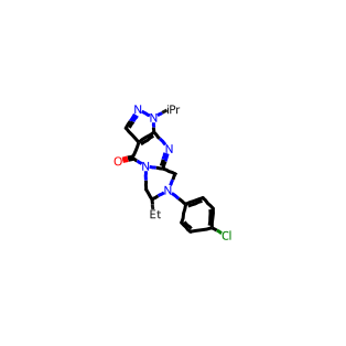 CCC1Cn2c(nc3c(cnn3C(C)C)c2=O)CN1c1ccc(Cl)cc1